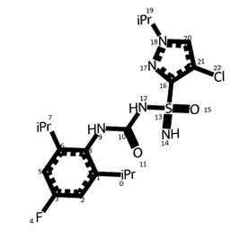 CC(C)c1cc(F)cc(C(C)C)c1NC(=O)NS(=N)(=O)c1nn(C(C)C)cc1Cl